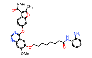 CNC(=O)c1c(C)oc2cc(Oc3ncnc4cc(OC)c(OCCCCCCCC(=O)Nc5ccccc5N)cc34)ccc12